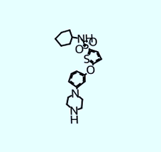 O=S(=O)(NC1CCCCC1)c1ccc(Oc2cccc(N3CCNCC3)c2)s1